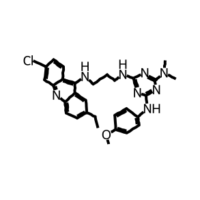 CCc1ccc2nc3cc(Cl)ccc3c(NCCCNc3nc(Nc4ccc(OC)cc4)nc(N(C)C)n3)c2c1